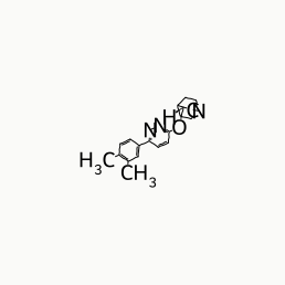 Cc1ccc(-c2ccc(O[C@H]3CN4CCC3CC4)nn2)cc1C